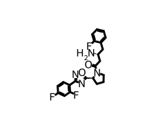 N[C@@H](CC(=O)N1CCC[C@H]1c1nc(-c2ccc(F)cc2F)no1)Cc1ccccc1F